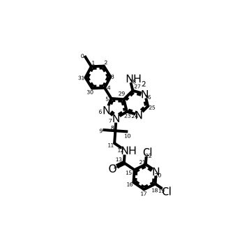 Cc1ccc(-c2nn(C(C)(C)CNC(=O)c3ccc(Cl)nc3Cl)c3ncnc(N)c23)cc1